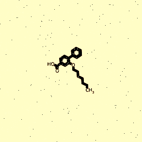 CCCCCCCOc1cc(C(=O)O)ccc1-c1ccccc1